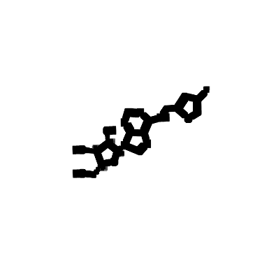 OC[C@H]1O[C@@H](n2cnc3c(NCc4cc(F)co4)ncnc32)[C@@H](O)[C@@H]1O